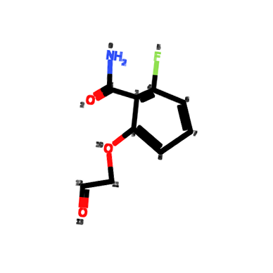 NC(=O)c1c(F)cccc1OCC=O